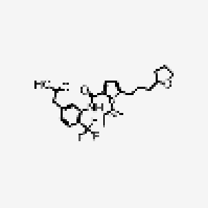 CC[C@H](C)n1c(CCCC2CCCO2)ccc1C(=O)Nc1cc(CC(=O)O)ccc1C(F)(F)F